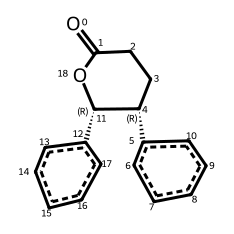 O=C1CC[C@H](c2ccccc2)[C@H](c2ccccc2)O1